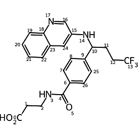 O=C(O)CCNC(=O)c1ccc(C(CCC(F)(F)F)Nc2cnc3ccccc3c2)cc1